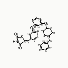 O=C1NC(=O)C(=Cc2cccc(Oc3cc(OC4CCN(Cc5ccccc5)CC4)ncn3)c2)S1